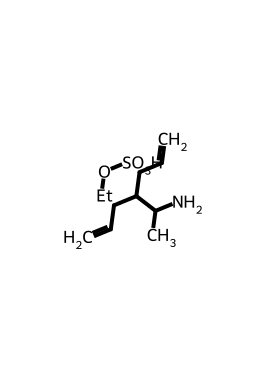 C=CCC(CC=C)C(C)N.CCOS(=O)(=O)O